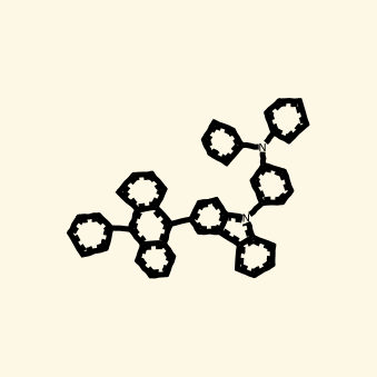 c1ccc(-c2c3ccccc3c(-c3ccc4c(c3)c3ccccc3n4-c3cccc(N(c4ccccc4)c4ccccc4)c3)c3ccccc23)cc1